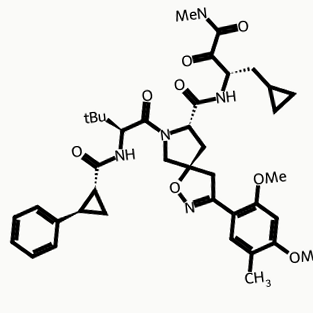 CNC(=O)C(=O)[C@H](CC1CC1)NC(=O)[C@@H]1C[C@]2(CC(c3cc(C)c(OC)cc3OC)=NO2)CN1C(=O)[C@@H](NC(=O)[C@@H]1C[C@H]1c1ccccc1)C(C)(C)C